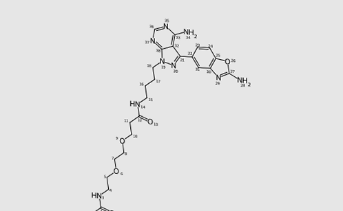 CC(=O)NCCOCCOCCC(=O)NCCCCn1nc(-c2ccc3oc(N)nc3c2)c2c(N)ncnc21